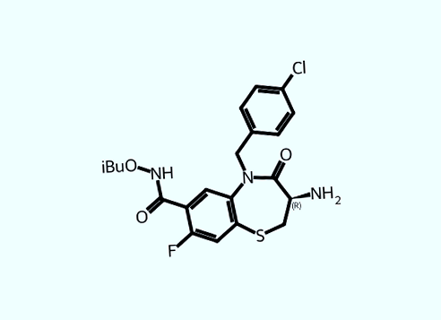 CC(C)CONC(=O)c1cc2c(cc1F)SC[C@H](N)C(=O)N2Cc1ccc(Cl)cc1